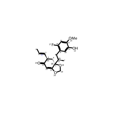 C/C=C/[C@H]1C[C@]2([C@H](C)Cc3cc(O)c(OC)cc3F)OCOC2=CC1=O